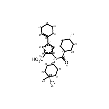 C[C@H]1CC[C@H](C(=O)N(c2cc(C3=CCCCC3)sc2C(=O)O)[C@H]2CC[C@@](C)(C#N)CC2)CC1